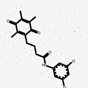 CC1=C(C)C(=O)C(CCCC(=O)Nc2cc(Cl)cc(Cl)c2)=C(C)C1=O